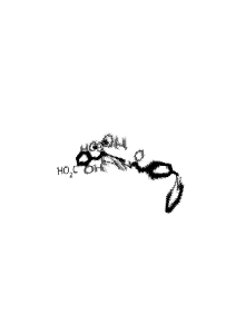 O=C(Cc1ccc(CN2CCCC2)cc1)NC[C@@H](Cc1cccc(C(=O)O)c1O)B(O)O